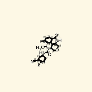 CCN(C(=O)Nc1ccc(F)c(C#N)c1)[C@H]1COCc2[nH]c(=O)c3ccc(F)cc3c21